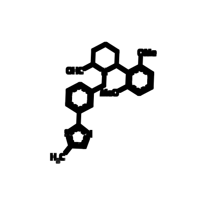 COc1cccc(OC)c1C1CCCC(C=O)N1Cc1cccc(-c2ncc(C)s2)c1